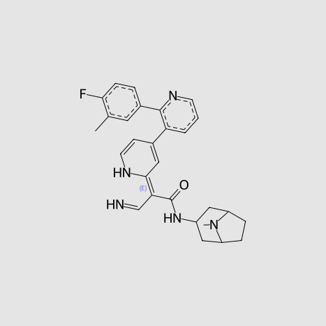 Cc1cc(-c2ncccc2C2=C/C(=C(/C=N)C(=O)NC3CC4CCC(C3)N4C)NC=C2)ccc1F